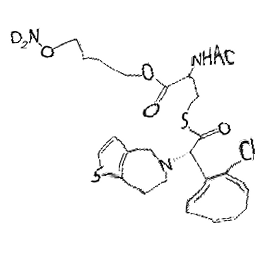 CC(=O)NC(CSC(=O)[C@H](c1ccccc1Cl)N1CCc2sccc2C1)C(=O)OCCCCO[N+](=O)[O-]